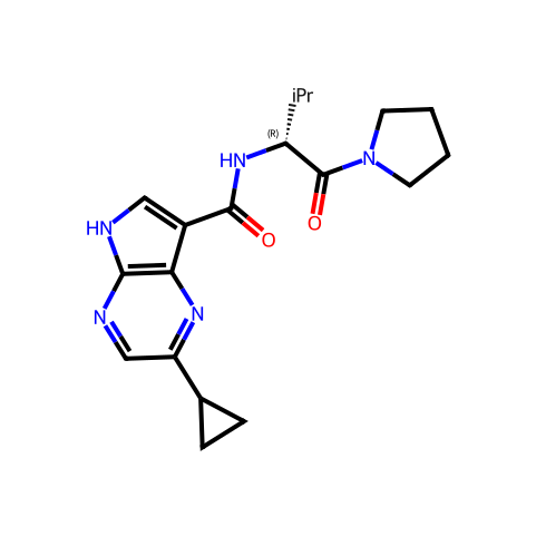 CC(C)[C@@H](NC(=O)c1c[nH]c2ncc(C3CC3)nc12)C(=O)N1CCCC1